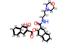 O=C(Oc1cc2ccccc2cc1C(=O)NCCCN1CCOCC1)c1cc2ccccc2cc1O